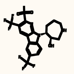 CS(=O)(=O)c1nc2c(cc1C(F)(F)F)c1cc(C(F)(F)F)ccc1n2[C@@H]1CCCNC[C@H]1O